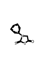 O=C1CN(c2ccccc2)C(=S)S1